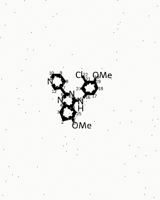 COc1ccc2nc(-c3cccnc3)nc(Nc3ccc(OC)c(Cl)c3)c2c1